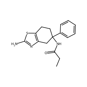 CCC(=O)NC1(c2ccccc2)CCc2sc(N)nc2C1